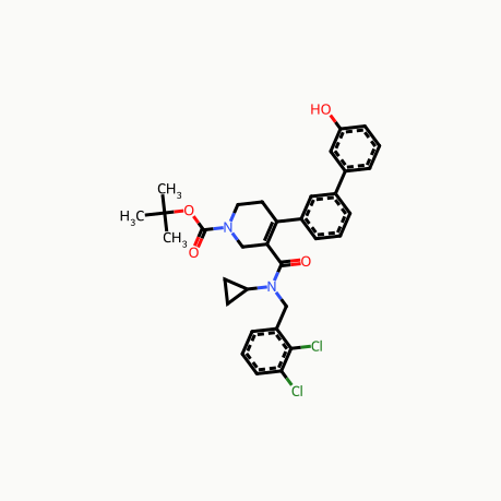 CC(C)(C)OC(=O)N1CCC(c2cccc(-c3cccc(O)c3)c2)=C(C(=O)N(Cc2cccc(Cl)c2Cl)C2CC2)C1